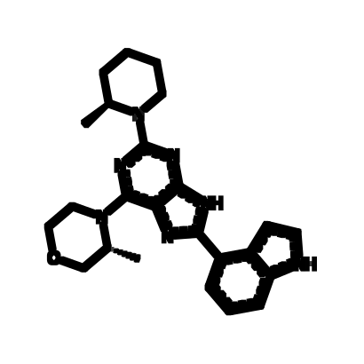 C[C@@H]1COCCN1c1nc(N2CCCC[C@@H]2C)nc2[nH]c(-c3cccc4[nH]ccc34)nc12